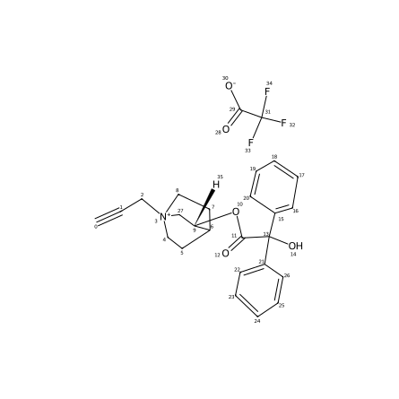 C#CC[N+]12CCC(CC1)[C@@H](OC(=O)C(O)(c1ccccc1)c1ccccc1)C2.O=C([O-])C(F)(F)F